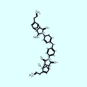 C=CCC1=CC2CC1C1C(=O)N(C3C=CC(Cc4ccc(N5C(=O)C6C7C=C(CC=C)[C@H](C7)C6C5=O)cc4)=CC3)C(O)C21